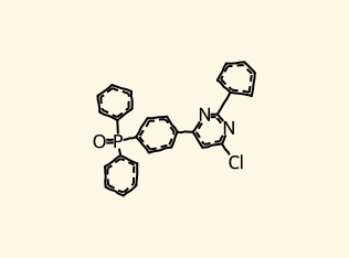 O=P(c1ccccc1)(c1ccccc1)c1ccc(-c2cc(Cl)nc(-c3ccccc3)n2)cc1